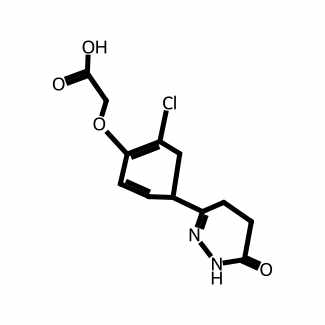 O=C(O)COC1=C(Cl)CC(C2=NNC(=O)CC2)C=C1